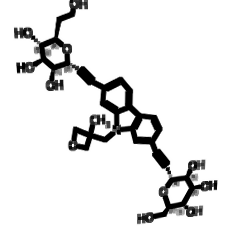 CC1(Cn2c3cc(C#C[C@H]4O[C@H](CO)[C@@H](O)[C@H](O)[C@@H]4O)ccc3c3ccc(C#C[C@H]4O[C@H](CCO)[C@@H](O)[C@H](O)[C@@H]4O)cc32)COC1